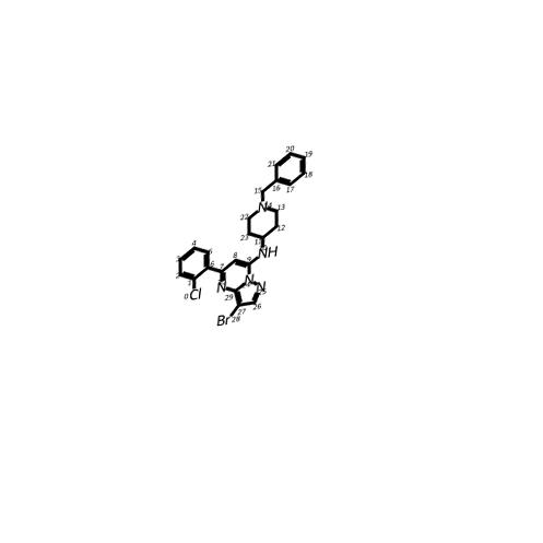 Clc1ccccc1-c1cc(NC2CCN(Cc3ccccc3)CC2)n2ncc(Br)c2n1